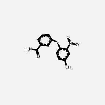 Cc1ccc(Sc2cccc(C(N)=O)c2)c([N+](=O)[O-])c1